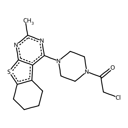 Cc1nc(N2CCN(C(=O)CCl)CC2)c2c3c(sc2n1)CCCC3